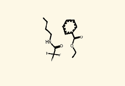 CCCCNC(=O)C(F)(F)F.CCOC(=O)c1ccccc1